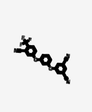 N#Cc1cc(C#N)cc(Oc2cccc(Oc3ccc(C(F)(F)F)c(C#N)c3)c2)c1